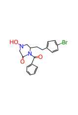 O=C1CN(O)CC(CCc2ccc(Br)cc2)N1C(=O)c1ccccc1